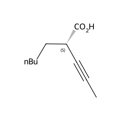 CC#C[C@H](CCCCC)C(=O)O